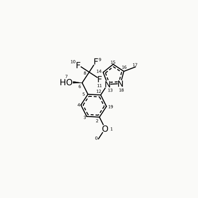 COc1ccc([C@@H](O)C(F)(F)F)c(-n2ccc(C)n2)c1